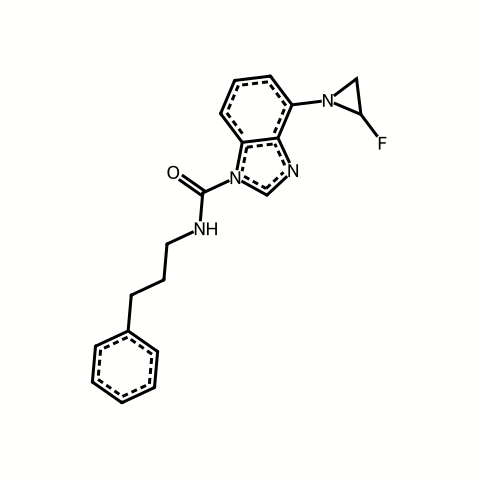 O=C(NCCCc1ccccc1)n1cnc2c(N3CC3F)cccc21